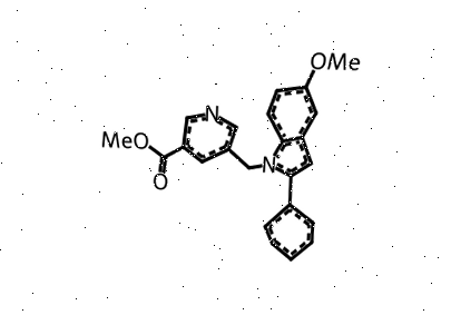 COC(=O)c1cncc(Cn2c(-c3ccccc3)cc3cc(OC)ccc32)c1